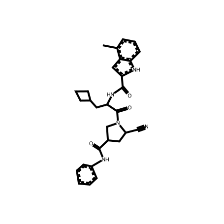 Cc1cccc2[nH]c(C(=O)NC(CC3CCC3)C(=O)N3CC(C(=O)Nc4ccccc4)CC3C#N)cc12